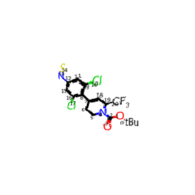 CC(C)(C)OC(=O)N1CCC(c2c(Cl)cc(N=S)cc2Cl)=CC1C(F)(F)F